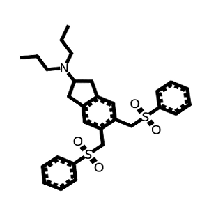 CCCN(CCC)C1Cc2cc(CS(=O)(=O)c3ccccc3)c(CS(=O)(=O)c3ccccc3)cc2C1